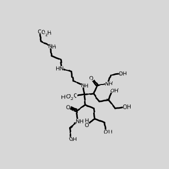 O=C(O)CNCCNCCNC(C(=O)O)(C(CC(O)CO)C(=O)NCO)C(CC(O)CO)C(=O)NCO